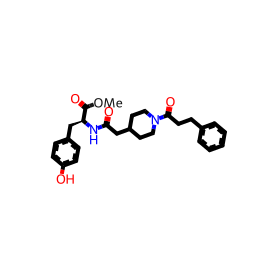 COC(=O)[C@H](Cc1ccc(O)cc1)NC(=O)CC1CCN(C(=O)CCc2ccccc2)CC1